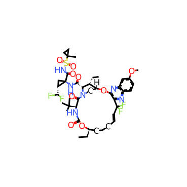 CC[C@@H]1CCC/C=C/C(F)(F)c2nc3ccc(OC)cc3nc2O[C@H]2CN(C(=O)[C@H](C(C)(C)C)NC(=O)O1)[C@H](C(=O)N[C@]1(C(=O)NS(=O)(=O)C3(C)CC3)C[C@H]1C(F)F)[C@@H]2CC